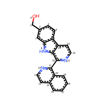 OCc1ccc2c(c1)[nH]c1c(-c3nccc4ccccc34)nccc12